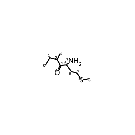 CCC(C)C(=O)[C@@H](N)CCSC